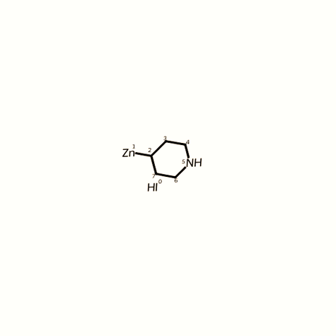 I.[Zn][CH]1CCNCC1